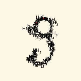 CO[C@H]1C[C@@H]2CC[C@@H](C)[C@@](O)(O2)C(=O)C(=O)N2CCCC[C@H]2C(=O)O[C@H]([C@H](C)C[C@@H]2CC[C@@H](O)[C@H](OC)C2)C[C@@H](OC)[C@H](C)/C=C(\C)[C@@H](O)[C@@H](OC)/C(=N/OCC(=O)N2CCc3nc(N4CCN(CCOCCN5CCN(c6ncc(C(=O)N7CCc8cc(Cn9nc(-c%10ccc%11oc(N)nc%11c%10)c%10c(N)ncnc%109)ccc8C7)cn6)CC5)CC4)ncc3C2)[C@H](C)C[C@H](C)/C=C/C=C/C=C/1C